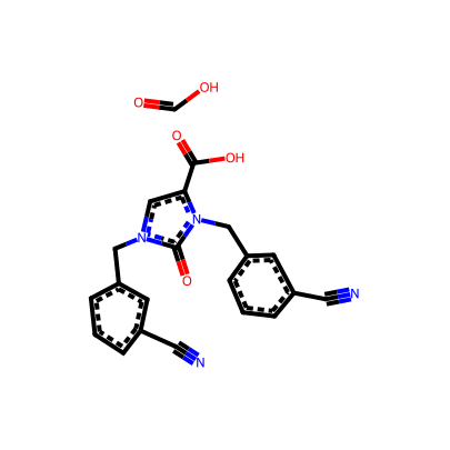 N#Cc1cccc(Cn2cc(C(=O)O)n(Cc3cccc(C#N)c3)c2=O)c1.O=CO